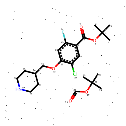 CC(C)(C)OC(=O)c1cc(Cl)c(OCC2CCNCC2)cc1F.CC(C)(C)OC=O